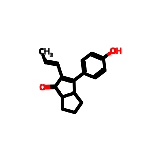 C/C=C/C1=C(c2ccc(O)cc2)C2CCCC2C1=O